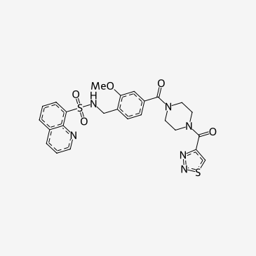 COc1cc(C(=O)N2CCN(C(=O)c3csnn3)CC2)ccc1CNS(=O)(=O)c1cccc2cccnc12